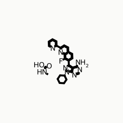 CNC(=O)O.Nc1ncnc2c1c(-c1ccc3ccc(-c4ccccn4)nc3c1F)nn2C1CCCCC1